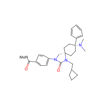 CNC(=O)c1ccc(N2C[C@]3(CC[C@@](c4ccccc4)(N(C)C)CC3)N(CC3CCC3)C2=O)cc1